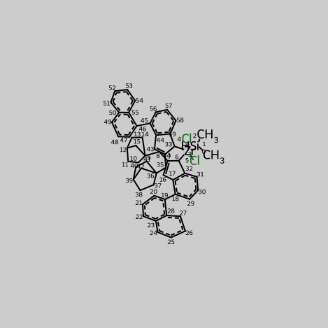 C[SiH](C)[Zr]([Cl])([Cl])([CH]1C(CC23CCC(CC2)C3)=Cc2c(-c3cccc4ccccc34)cccc21)[CH]1C(CC23CCC(CC2)C3)=Cc2c(-c3cccc4ccccc34)cccc21